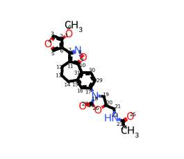 COc1cocc1-c1noc2c1CCCc1cc(N3CC(CNC(C)=O)OC3=O)ccc1-2